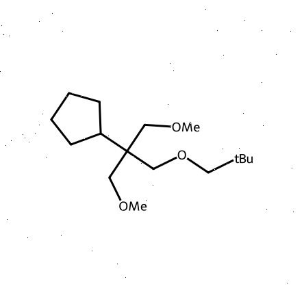 COCC(COC)(COCC(C)(C)C)C1CCCC1